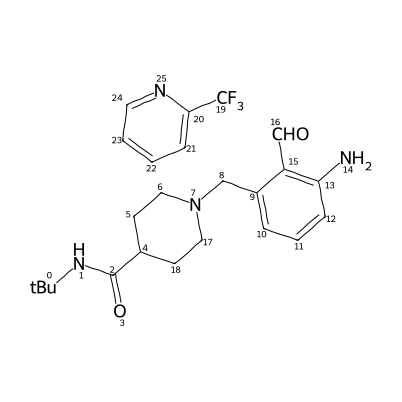 CC(C)(C)NC(=O)C1CCN(Cc2cccc(N)c2C=O)CC1.FC(F)(F)c1ccccn1